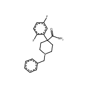 NC(=O)C1(c2cc(F)ccc2F)CCN(Cc2ccccc2)CC1